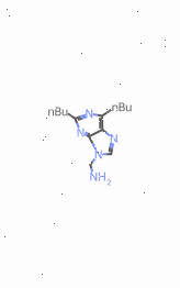 CCCCc1nc(CCCC)c2ncn(CN)c2n1